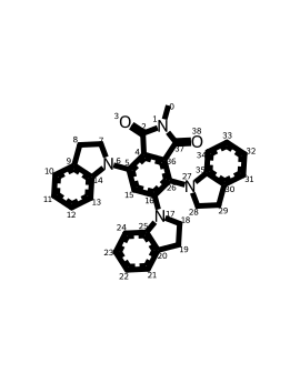 CN1C(=O)c2c(N3CCc4ccccc43)cc(N3CCc4ccccc43)c(N3CCc4ccccc43)c2C1=O